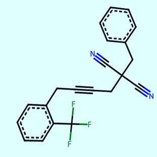 N#CC(C#N)(CC#CCc1ccccc1C(F)(F)F)Cc1ccccc1